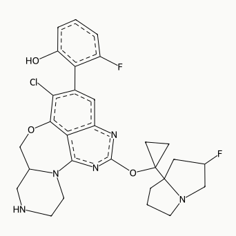 Oc1cccc(F)c1-c1cc2nc(OC3(C45CCCN4CC(F)C5)CC3)nc3c2c(c1Cl)OCC1CNCCN31